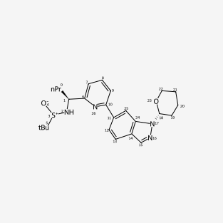 CCC[C@H](N[S+]([O-])C(C)(C)C)c1cccc(-c2ccc3cnn([C@H]4CCCCO4)c3c2)n1